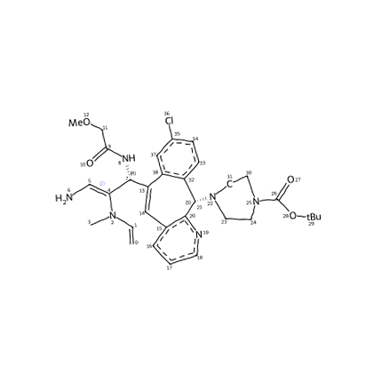 C=CN(C)/C(=C\N)[C@H](NC(=O)COC)C1=Cc2cccnc2[C@@H](N2CCN(C(=O)OC(C)(C)C)CC2)c2ccc(Cl)cc21